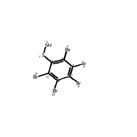 SSc1c(Br)c(Br)c(Br)c(Br)c1Br